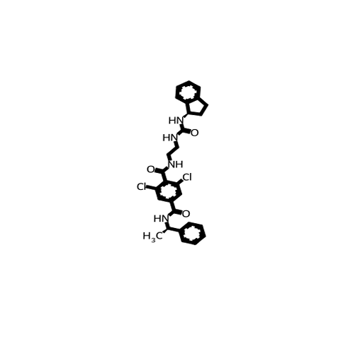 C[C@@H](NC(=O)c1cc(Cl)c(C(=O)NCCNC(=O)N[C@@H]2CCc3ccccc32)c(Cl)c1)c1ccccc1